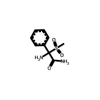 CS(=O)(=O)C(N)(C(N)=O)c1ccccc1